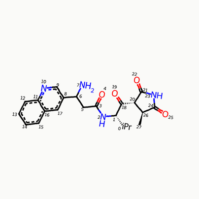 CC(C)[C@H](NC(=O)CC(N)c1cnc2ccccc2c1)C(=O)[C@@H]1C(=O)NC(=O)[C@H]1C